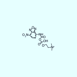 C[N+](C)(C)CCOP(=O)(O)OC(=O)Nc1ccc([N+](=O)[O-])c2nonc12